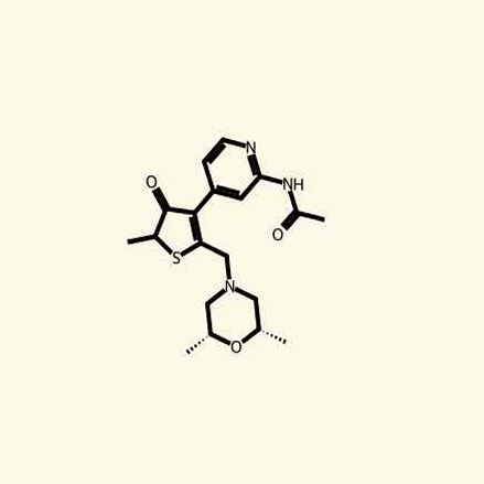 CC(=O)Nc1cc(C2=C(CN3C[C@@H](C)O[C@@H](C)C3)SC(C)C2=O)ccn1